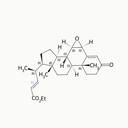 CCOC(=O)/C=C/[C@@H](C)[C@H]1CC[C@H]2[C@@H]3[C@H]4O[C@H]4C4=CC(=O)CC[C@]4(C)[C@H]3CC[C@]12C